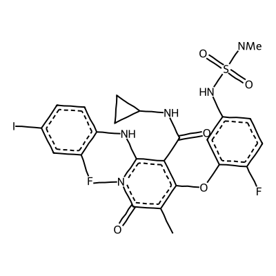 CNS(=O)(=O)Nc1ccc(F)c(Oc2c(C(=O)NC3CC3)c(Nc3ccc(I)cc3F)n(C)c(=O)c2C)c1